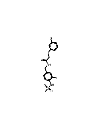 CS(=O)(=O)Nc1ccc(CNC(=O)COc2cccc(Br)c2)cc1F